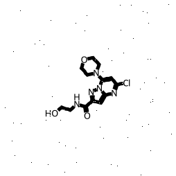 O=C(NCCO)c1cc2nc(Cl)cc(N3CCOCC3)n2n1